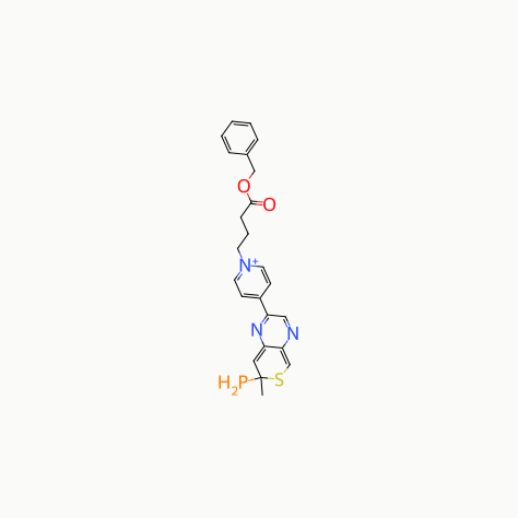 CC1(P)C=c2nc(-c3cc[n+](CCCC(=O)OCc4ccccc4)cc3)cnc2=CS1